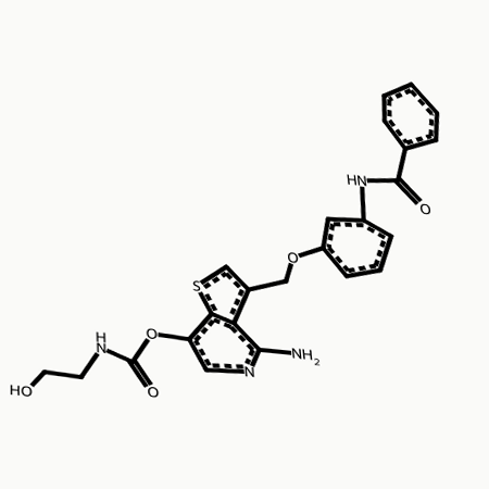 Nc1ncc(OC(=O)NCCO)c2scc(COc3cccc(NC(=O)c4ccccc4)c3)c12